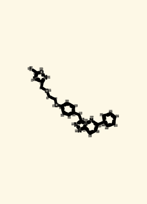 Fc1nc(COCCOc2ccc(Cc3nnc4ccc(-c5ccccc5)nn34)cc2)no1